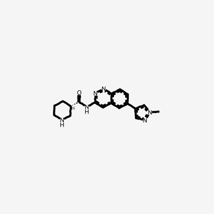 Cn1cc(-c2ccc3nnc(NC(=O)[C@H]4CCCNC4)cc3c2)cn1